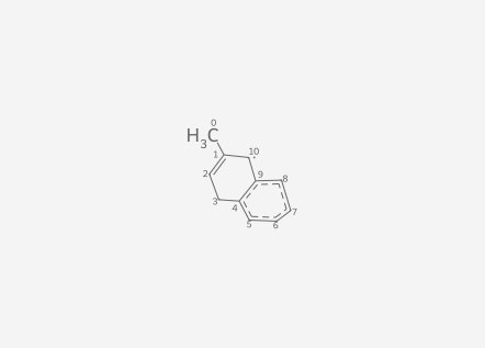 CC1=CCc2ccccc2[CH]1